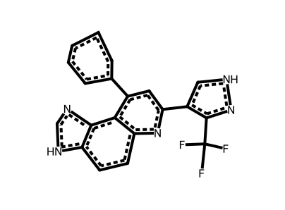 FC(F)(F)c1n[nH]cc1-c1cc(-c2ccccc2)c2c(ccc3[nH]cnc32)n1